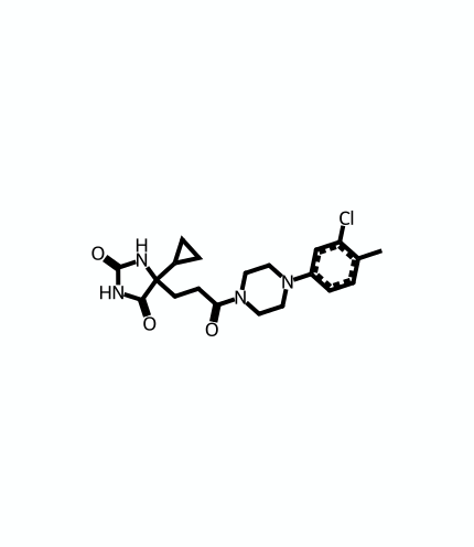 Cc1ccc(N2CCN(C(=O)CCC3(C4CC4)NC(=O)NC3=O)CC2)cc1Cl